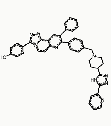 Oc1ccc(-c2nnc3c4cc(-c5ccccc5)c(-c5ccc(CN6CCC(c7nnc(-c8ccccn8)[nH]7)CC6)cc5)nc4ccn23)cc1